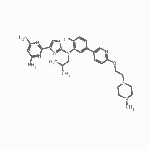 Cc1ccc(-c2ccc(OCCN3CCN(C)CC3)nc2)cc1N(CC(C)C)c1nc(-c2nc(N)cc(N)n2)cs1